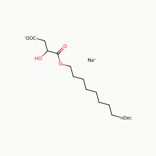 CCCCCCCCCCCCCCCCCCOC(=O)C(O)CC(=O)[O-].[Na+]